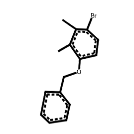 Cc1c(Br)ccc(OCc2ccccc2)c1C